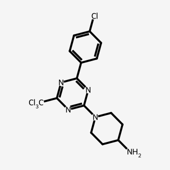 NC1CCN(c2nc(-c3ccc(Cl)cc3)nc(C(Cl)(Cl)Cl)n2)CC1